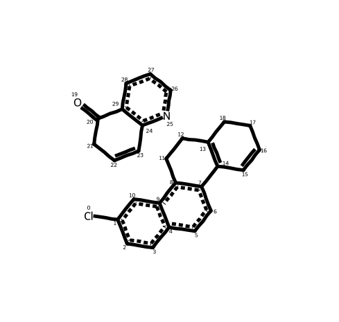 Clc1ccc2ccc3c(c2c1)CCC1=C3C=CCC1.O=C1CC=Cc2ncccc21